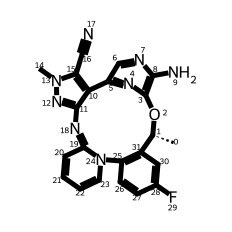 C[C@H]1Oc2nc(cnc2N)-c2c(nn(C)c2C#N)/N=C2/C=CC=CN2c2ccc(F)cc21